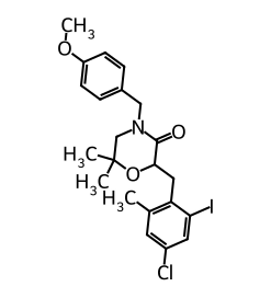 COc1ccc(CN2CC(C)(C)OC(Cc3c(C)cc(Cl)cc3I)C2=O)cc1